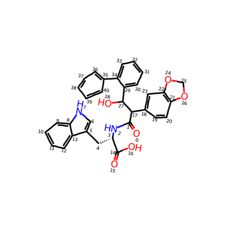 O=C(N[C@@H](Cc1c[nH]c2ccccc12)C(=O)O)C(c1ccc2c(c1)OCO2)C(O)c1ccccc1-c1ccccc1